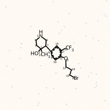 CC1(O)CCNCC1c1ccc(OCCCBr)c(C(F)(F)F)c1